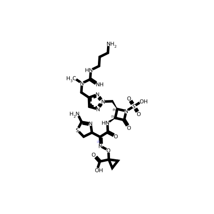 CN(Cc1cnn(C[C@@H]2[C@H](NC(=O)/C(=N\OC3(C(=O)O)CC3)C3CSC(N)=N3)C(=O)N2S(=O)(=O)O)n1)C(=N)NCCCN